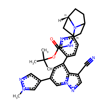 Cn1cc(-c2cc(-c3ccc(N4C5CC[C@H]4C[C@H](NC(=O)OC(C)(C)C)C5)nc3)c3c(C#N)cnn3c2)cn1